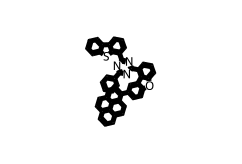 C1=Cc2ccc3ccc(-c4ccc5oc6cccc(-c7nc(-c8ccccc8)nc(-c8cccc9c8sc8ccccc89)n7)c6c5c4)c4c3c2C(=CC4)C1